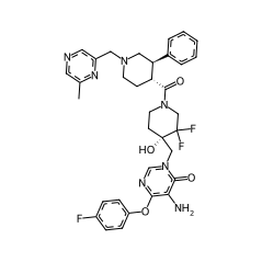 Cc1cncc(CN2CC[C@@H](C(=O)N3CC[C@](O)(Cn4cnc(Oc5ccc(F)cc5)c(N)c4=O)C(F)(F)C3)[C@H](c3ccccc3)C2)n1